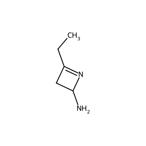 CCC1=NC(N)C1